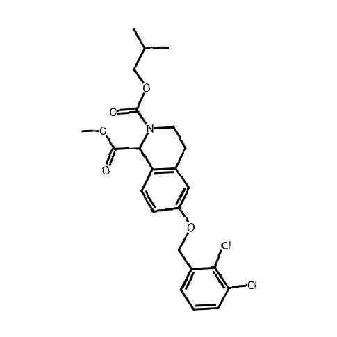 COC(=O)C1c2ccc(OCc3cccc(Cl)c3Cl)cc2CCN1C(=O)OCC(C)C